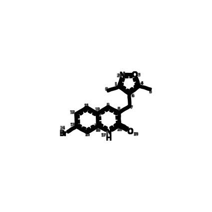 Cc1noc(C)c1Cc1cc2ccc(Br)cc2[nH]c1=O